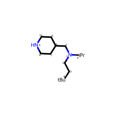 CC(C)N(CCC(C)(C)C)CC1CCNCC1